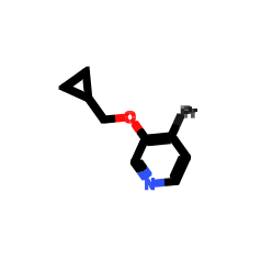 CC(C)c1ccncc1OCC1CC1